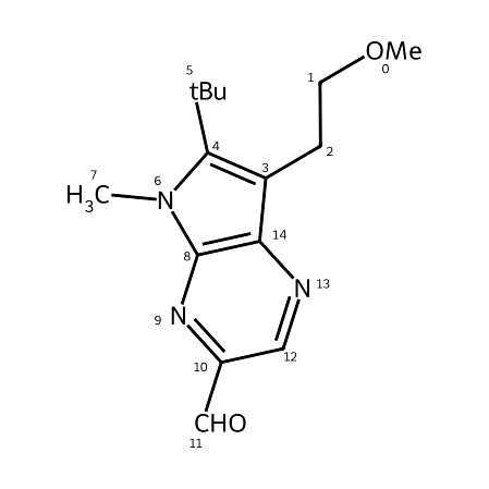 COCCc1c(C(C)(C)C)n(C)c2nc(C=O)cnc12